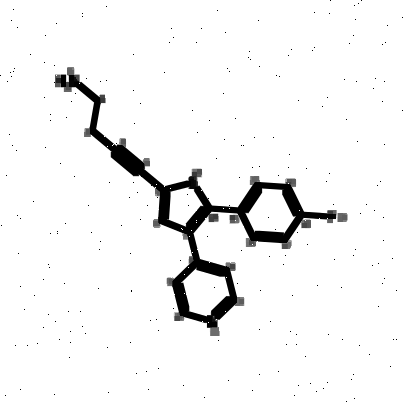 NCCC#Cc1cc(-c2ccncc2)c(-c2ccc(F)cc2)s1